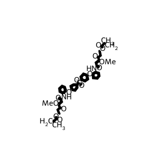 C=C(C)C(=O)OCCC(=O)/C(=C/C(=O)Nc1ccccc1Oc1ccc(S(=O)(=O)c2ccc(Oc3ccccc3NC(=O)/C=C(\OC)C(=O)CCOC(=O)C(=C)C)cc2)cc1)OC